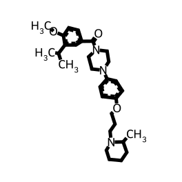 COc1ccc(C(=O)N2CCN(c3ccc(OCCCN4CCCCC4C)cc3)CC2)cc1C(C)C